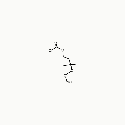 CC(C)(C)OOC(C)(C)CCOC(=O)Cl